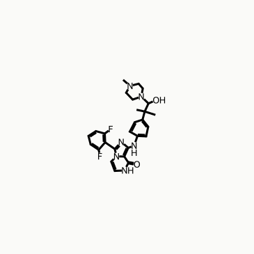 CN1CCN(C(O)C(C)(C)c2ccc(Nc3nc(-c4c(F)cccc4F)n4cc[nH]c(=O)c34)cc2)CC1